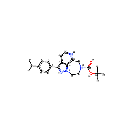 CC(C)c1ccc(-c2nn3c4c(nccc24)CN(C(=O)OC(C)(C)C)CC3)cc1